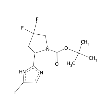 CC(C)(C)OC(=O)N1CC(F)(F)CC1c1ncc(I)[nH]1